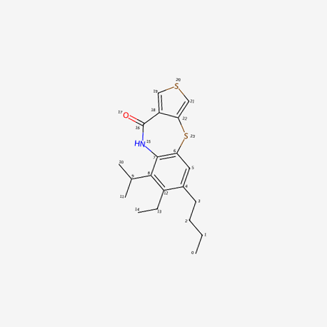 CCCCc1cc2c(c(C(C)C)c1CC)NC(=O)c1cscc1S2